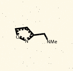 CNCc1ccon1